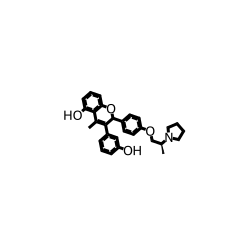 CC1=C(c2cccc(O)c2)C(c2ccc(OC[C@H](C)N3CCCC3)cc2)Oc2cccc(O)c21